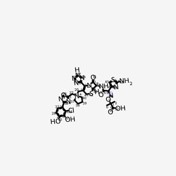 CC(C)(O/N=C(\C(=O)N[C@@H]1C(=O)N2C(c3nn[nH]n3)=C(C[N+]3(Cc4nc(-c5ccc(O)c(O)c5Cl)no4)CCCC3)CS[C@H]12)c1csc(N)n1)C(=O)O